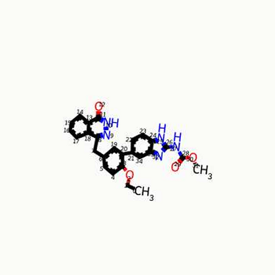 CCOc1ccc(Cc2n[nH]c(=O)c3ccccc23)cc1-c1ccc2[nH]c(NC(=O)OC)nc2c1